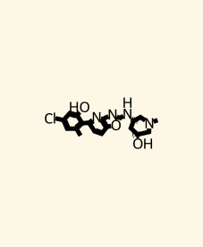 Cc1cc(Cl)cc(O)c1-c1ccc2oc(N[C@@H]3C[C@H](O)CN(C)C3)nc2n1